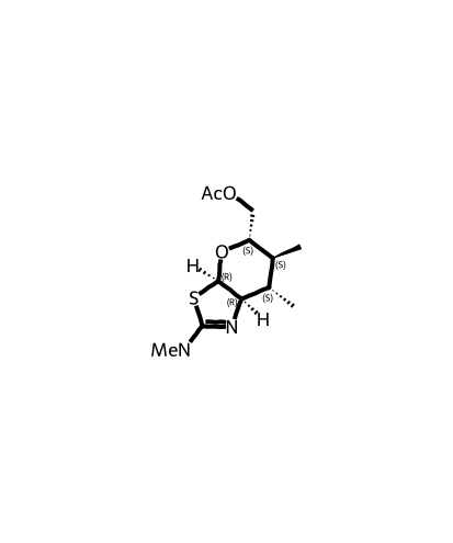 CNC1=N[C@@H]2[C@@H](C)[C@H](C)[C@@H](COC(C)=O)O[C@@H]2S1